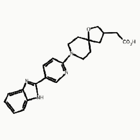 O=C(O)CC1COC2(CCN(c3ccc(-c4nc5ccccc5[nH]4)cn3)CC2)C1